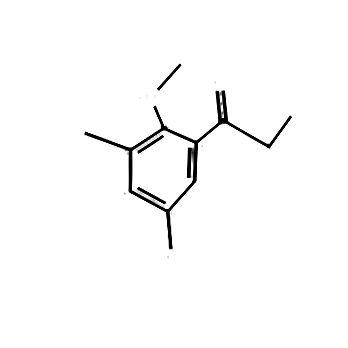 CCC(=O)c1cc(Cl)cc(C)c1OC